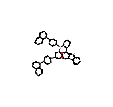 c1cc(-c2ccc(-c3cccc4ccccc34)cc2)cc(N(c2ccc(-c3cccc4ccccc34)cc2)c2ccccc2-c2cccc3c2oc2ccccc23)c1